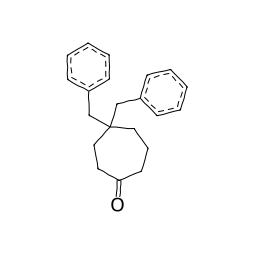 O=C1CCCC(Cc2ccccc2)(Cc2ccccc2)CC1